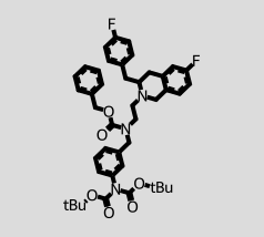 CC(C)(C)OC(=O)N(C(=O)OC(C)(C)C)c1cccc(CN(CCN2Cc3ccc(F)cc3CC2Cc2ccc(F)cc2)C(=O)OCc2ccccc2)c1